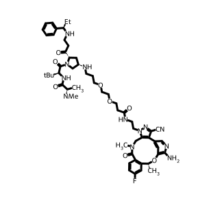 CC[C@@H](NCCC(=O)[C@@H]1C[C@H](NCCCOCCOCCC(=O)NCCn2nc(C#N)c3c2CN(C)C(=O)c2ccc(F)cc2[C@@H](C)Oc2cc-3cnc2N)CN1C(=O)[C@@H](NC(=O)[C@H](C)NC)C(C)(C)C)c1ccccc1